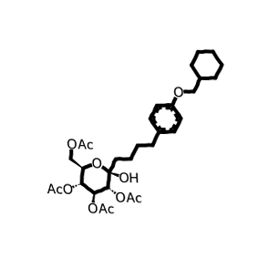 CC(=O)OC[C@H]1O[C@](O)(CCCCc2ccc(OCC3CCCCC3)cc2)[C@H](OC(C)=O)[C@@H](OC(C)=O)[C@@H]1OC(C)=O